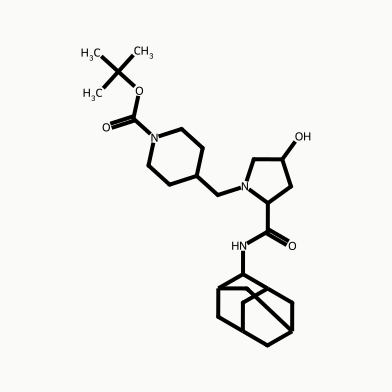 CC(C)(C)OC(=O)N1CCC(CN2CC(O)CC2C(=O)NC2C3CC4CC(C3)CC2C4)CC1